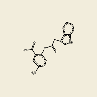 Nc1ccc(OC(=O)Cc2c[nH]c3ccccc23)c(C(=O)O)c1